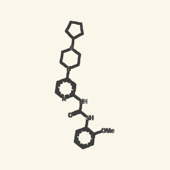 COc1ccccc1NC(=O)Nc1cc(N2CCN(C3CCCC3)CC2)ccn1